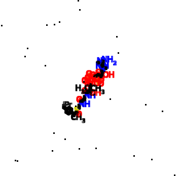 CC(C)Cc1ccc(C(C)C(=O)SCCNC(=O)CCNC(=O)C(O)C(C)(C)COP(=O)(O)OP(=O)(O)OCC2OC(n3cnc4c(N)ncnc43)C(O)C2OP(=O)(O)O)cc1